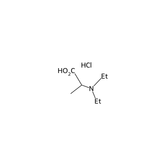 CCN(CC)C(C)C(=O)O.Cl